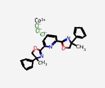 CC1(c2ccccc2)COC(c2cccc(C3=NC(C)(c4ccccc4)CO3)n2)=N1.[Cl-].[Cl-].[Cl-].[Co+3]